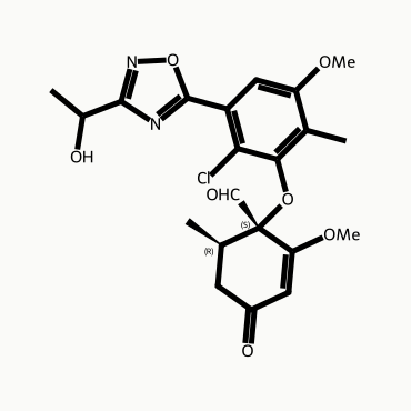 COC1=CC(=O)C[C@@H](C)[C@]1(C=O)Oc1c(C)c(OC)cc(-c2nc(C(C)O)no2)c1Cl